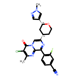 Cc1nc2c(-c3ccc(C#N)cc3F)nc([C@H]3CCO[C@@H](c4cnn(C)c4)C3)cn2c(=O)c1Cl